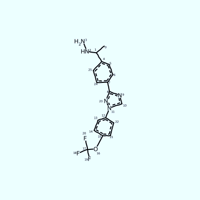 CC(NN)c1ccc(-c2ncn(-c3ccc(OC(F)(F)F)cc3)n2)cc1